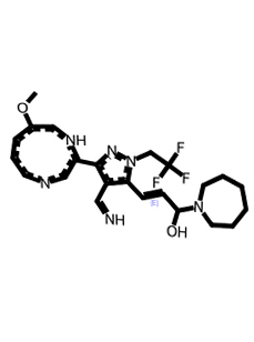 COc1cccncc(-c2nn(CC(F)(F)F)c(/C=C/C(O)N3CCCCCC3)c2C=N)[nH]c1